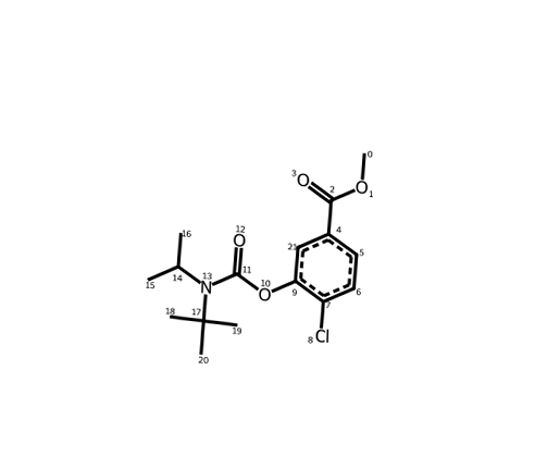 COC(=O)c1ccc(Cl)c(OC(=O)N(C(C)C)C(C)(C)C)c1